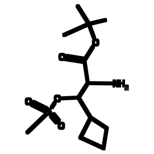 CC(C)(C)OC(=O)C(N)C(OS(C)(=O)=O)C1CCC1